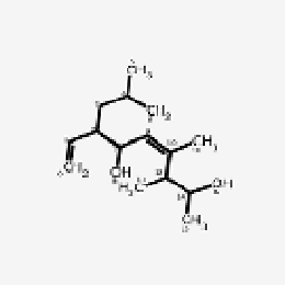 C=CC(CC(C)C)C(O)C=C(C)C(C)C(C)O